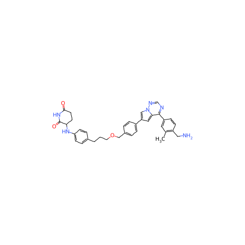 Cc1cc(-c2ncnn3cc(-c4ccc(COCCCc5ccc(NC6CCC(=O)NC6=O)cc5)cc4)cc23)ccc1CN